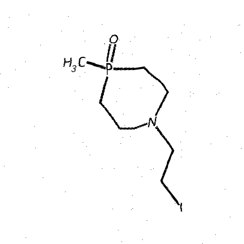 CP1(=O)CCN(CCI)CC1